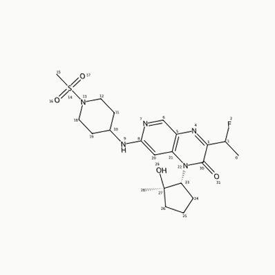 CC(F)c1nc2cnc(NC3CCN(S(C)(=O)=O)CC3)cc2n([C@@H]2CCC[C@@]2(C)O)c1=O